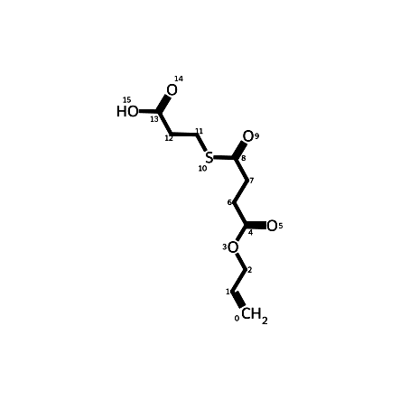 C=CCOC(=O)CCC(=O)SCCC(=O)O